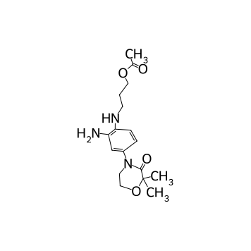 CC(=O)OCCCNc1ccc(N2CCOC(C)(C)C2=O)cc1N